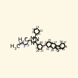 C=C(/C=C\C=C/C)c1nc(-c2ccccc2)nc(-c2cccc(-c3ccc4cc5c(cc4c3)sc3ccccc35)c2)n1